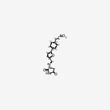 O=C1CN(/N=C/c2ccc(-c3ccc(CC[N+](=O)[O-])cc3)o2)C(=O)N1